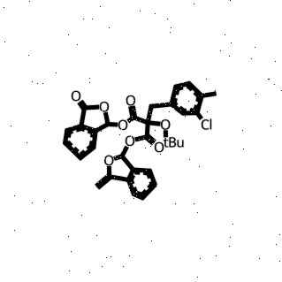 C=C1OC(OC(=O)C(Cc2ccc(C)c(Cl)c2)(OC(C)(C)C)C(=O)OC2OC(=O)c3ccccc32)c2ccccc21